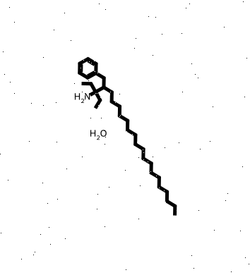 CCCCCCCCCCCCCCCCCCC(Cc1ccccc1)C(N)(CC)CC.O